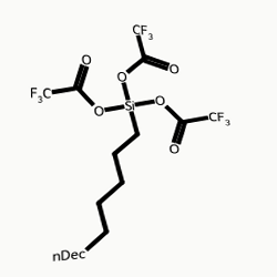 CCCCCCCCCCCCCCC[Si](OC(=O)C(F)(F)F)(OC(=O)C(F)(F)F)OC(=O)C(F)(F)F